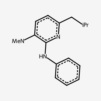 CNc1ccc(CC(C)C)nc1Nc1ccccc1